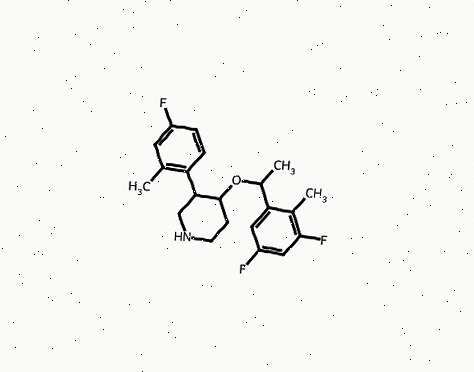 Cc1cc(F)ccc1C1CNCCC1OC(C)c1cc(F)cc(F)c1C